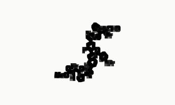 CCCc1ccc(C2Oc3cc(-c4cnc([C@@H]5CCCN5C(=O)[C@@H](NC=O)C(C)C)[nH]4)cc(F)c3-c3cc4cc(-c5cnc([C@@H]6CCCN6C(=O)[C@@H](NC(=O)OC)C(C)C)[nH]5)ccc4n32)s1